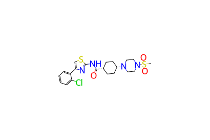 CS(=O)(=O)N1CCN([C@H]2CC[C@@H](C(=O)Nc3nc(-c4ccccc4Cl)cs3)CC2)CC1